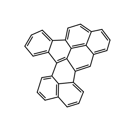 c1cc2ccc3c4ccccc4c4c5cccc6cccc(c7cc(c1)c2c3c74)c65